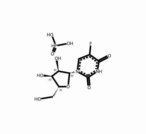 O=[PH](O)O.O=c1[nH]c(=O)n([C@@H]2O[C@H](CO)[C@@H](O)[C@H]2O)cc1F